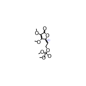 COC1=C(OC)/C(=C\COP(=O)(OC)OC)OC1=O